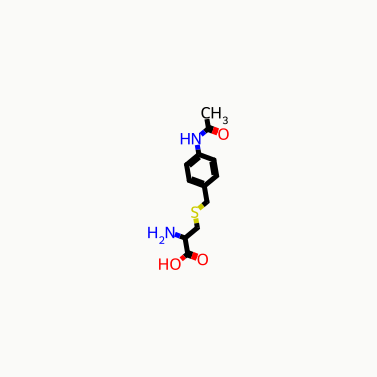 CC(=O)Nc1ccc(CSCC(N)C(=O)O)cc1